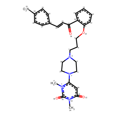 Cn1c(N2CCN(CCCOc3ccccc3C(=O)C=Cc3ccc([N+](=O)[O-])cc3)CC2)cc(=O)n(C)c1=O